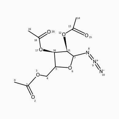 CC(=O)OCC1OC(N=[N+]=[N-])[C@H](OC(C)=O)[C@@H]1OC(C)=O